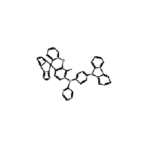 Cc1c(N(c2ccccc2)c2ccc(-n3c4ccccc4c4ccccc43)cc2)ccc2c1Oc1ccccc1C21c2ccccc2-c2ccccc21